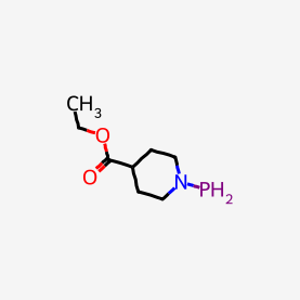 CCOC(=O)C1CCN(P)CC1